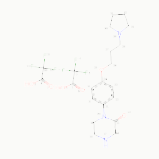 O=C(O)C(F)(F)F.O=C(O)C(F)(F)F.O=C1CNCCN1c1ccc(OCCCN2CCCC2)cc1